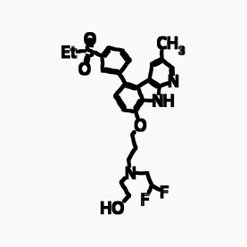 CCS(=O)(=O)c1cccc(-c2ccc(OCCCN(CCO)CC(F)F)c3[nH]c4ncc(C)cc4c23)c1